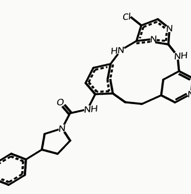 O=C(Nc1ccc2cc1CCC1C=NC=C(C1)Nc1ncc(Cl)c(n1)N2)N1CCC(c2ccccc2)C1